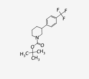 CC(C)(C)OC(=O)N1CCCC(c2ccc(C(F)(F)F)cc2)C1